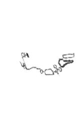 CCN(CCO)CCCCOC1CCC(N(C)C(=O)Oc2ccc(Cl)cc2)CC1